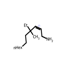 CCCCCCCCC(C)(/C=C\CN)CC